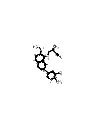 C=C(C#N)CNc1c(OC)ccc2ccc(-c3cnc(N)c(Cl)c3)cc12